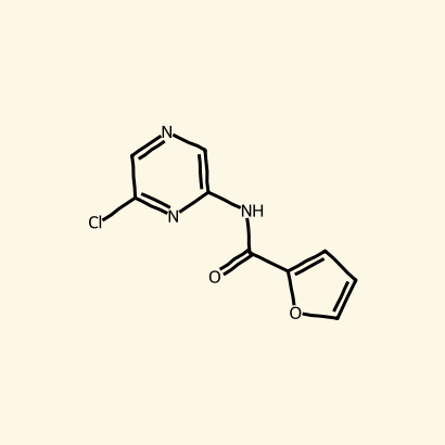 O=C(Nc1cncc(Cl)n1)c1ccco1